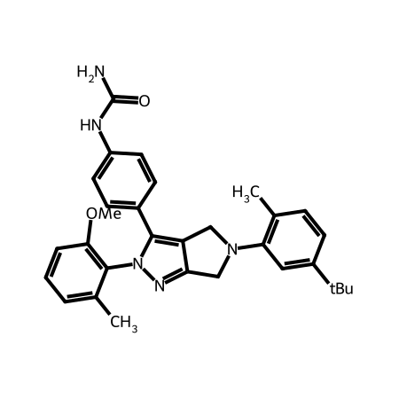 COc1cccc(C)c1-n1nc2c(c1-c1ccc(NC(N)=O)cc1)CN(c1cc(C(C)(C)C)ccc1C)C2